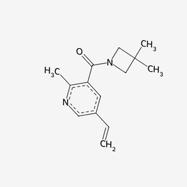 C=Cc1cnc(C)c(C(=O)N2CC(C)(C)C2)c1